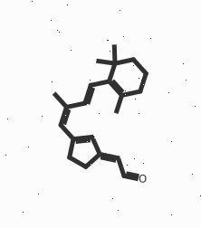 CC1=C(/C=C/C(C)=C\C2=CC(=C/C=O)/CC2)C(C)(C)CCC1